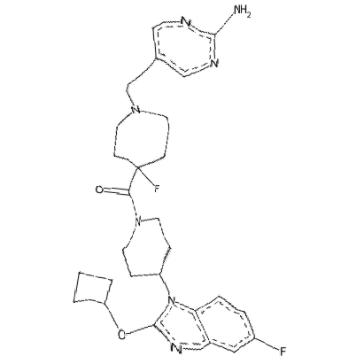 Nc1ncc(CN2CCC(F)(C(=O)N3CCC(n4c(OC5CCC5)nc5cc(F)ccc54)CC3)CC2)cn1